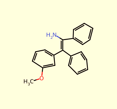 COc1cccc(C(=C(N)c2ccccc2)c2ccccc2)c1